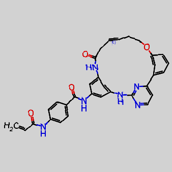 C=CC(=O)Nc1ccc(C(=O)Nc2cc3cc(c2)Nc2nccc(n2)-c2cccc(c2)OCC/C=C/CC(=O)N3)cc1